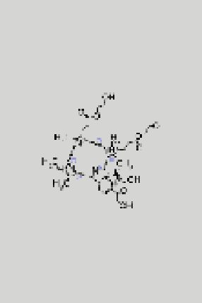 C=Cc1c(C)/c2[nH]/c1=C\C1=NC(/C=C\NC(=C(/C)C(=C)CCC(=O)OCC=O)/C=C3N=C(/C=2)C2=CC=C(C(=O)CO)[C@@H](C(=O)CO)[C@]2\3C)C(CCC(=O)OCCO)=C1C